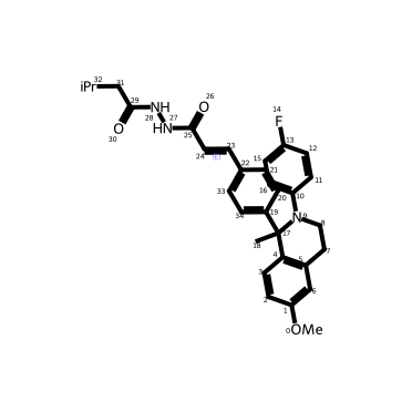 COc1ccc2c(c1)CCN(c1ccc(F)cc1)C2(C)c1ccc(/C=C/C(=O)NNC(=O)CC(C)C)cc1